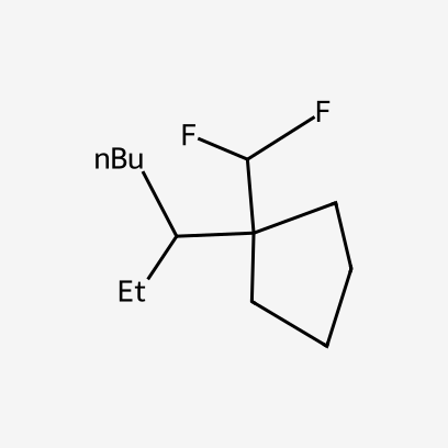 CCCCC(CC)C1(C(F)F)CCCC1